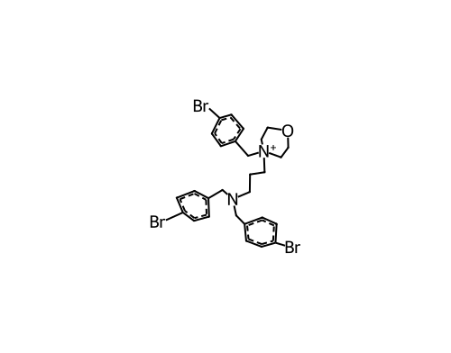 Brc1ccc(CN(CCC[N+]2(Cc3ccc(Br)cc3)CCOCC2)Cc2ccc(Br)cc2)cc1